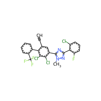 C#Cc1cc(-c2nc(-c3c(F)cccc3Cl)nn2C)c(Cl)c(Cl)c1-c1ccccc1C(F)(F)F